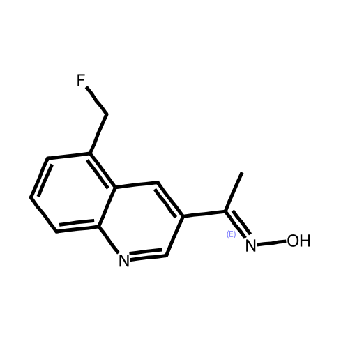 C/C(=N\O)c1cnc2cccc(CF)c2c1